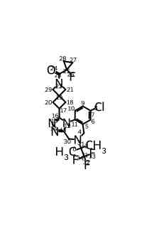 CC(C)(N1Cc2cc(Cl)ccc2-n2c(nnc2C2CC3(C2)CN(C(=O)C2(F)CC2)C3)C1)C(F)(F)F